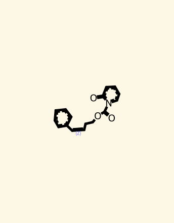 O=C(OCC/C=C\c1ccccc1)n1ccccc1=O